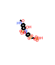 CC(=O)Nc1ccc2c(O)c(N=Nc3ccc(S(=O)(=O)CCOS(=O)(=O)O)cc3)c(S(=O)(=O)O)cc2c1